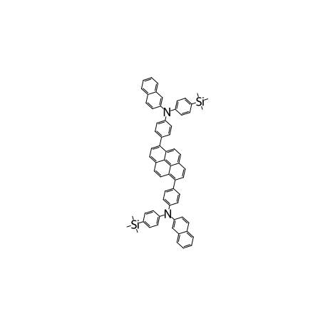 C[Si](C)(C)c1ccc(N(c2ccc(-c3ccc4ccc5c(-c6ccc(N(c7ccc([Si](C)(C)C)cc7)c7ccc8ccccc8c7)cc6)ccc6ccc3c4c65)cc2)c2ccc3ccccc3c2)cc1